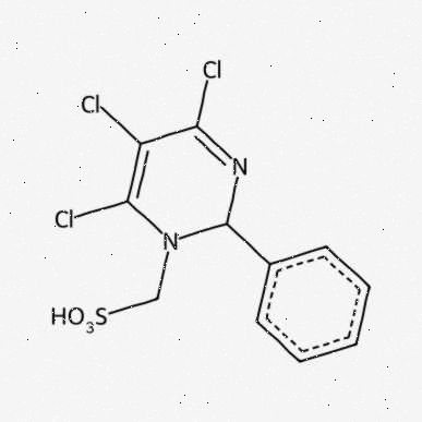 O=S(=O)(O)CN1C(Cl)=C(Cl)C(Cl)=NC1c1ccccc1